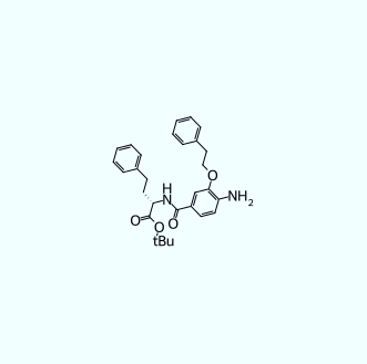 CC(C)(C)OC(=O)[C@H](CCc1ccccc1)NC(=O)c1ccc(N)c(OCCc2ccccc2)c1